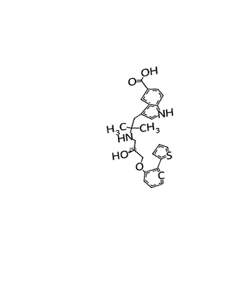 CC(C)(Cc1c[nH]c2ccc(C(=O)O)cc12)NC[C@H](O)COc1ccccc1-c1cccs1